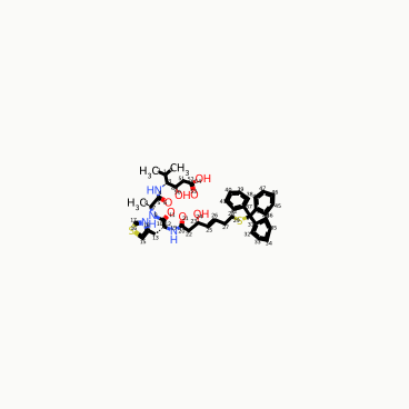 CC(C)[C@@H](NC(=O)[C@@H](C)NC(=O)[C@@H](Cc1cscn1)NC(=O)C[C@H](O)C=CCCSC(c1ccccc1)(c1ccccc1)c1ccccc1)[C@@H](O)CC(=O)O